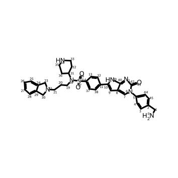 NCc1ccc(-n2cc3cc(-c4ccc(S(=O)(=O)N(CCCN5Cc6ccccc6C5)C5CCNCC5)cc4)[nH]c3nc2=O)cc1